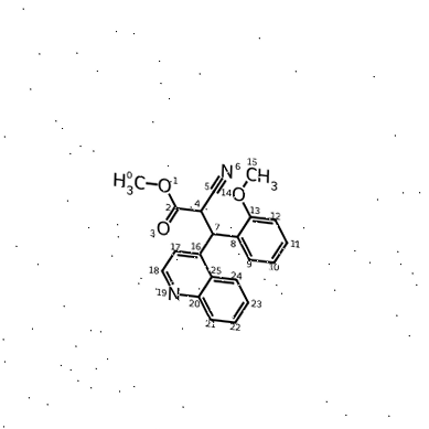 COC(=O)C(C#N)C(c1ccccc1OC)c1ccnc2ccccc12